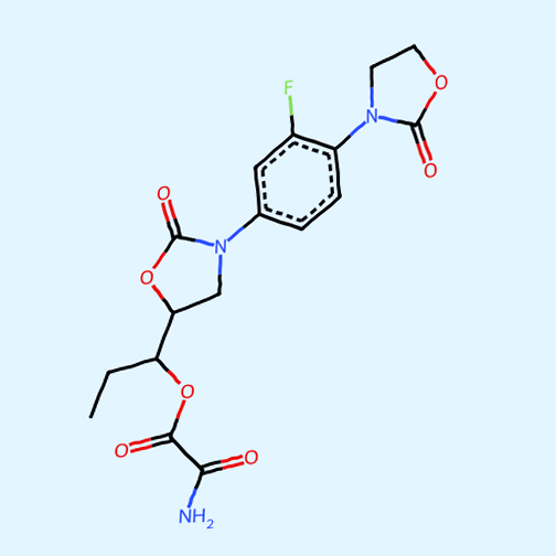 CCC(OC(=O)C(N)=O)C1CN(c2ccc(N3CCOC3=O)c(F)c2)C(=O)O1